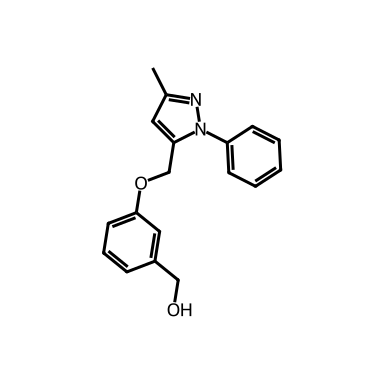 Cc1cc(COc2cccc(CO)c2)n(-c2ccccc2)n1